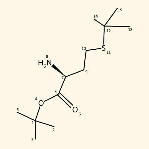 CC(C)(C)OC(=O)[C@@H](N)CCSC(C)(C)C